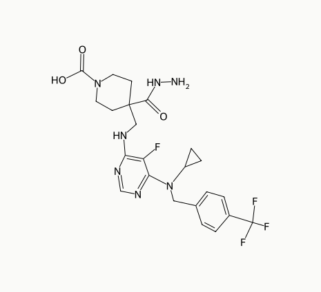 NNC(=O)C1(CNc2ncnc(N(Cc3ccc(C(F)(F)F)cc3)C3CC3)c2F)CCN(C(=O)O)CC1